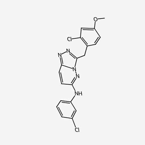 COc1ccc(Cc2nnc3ccc(Nc4cccc(Cl)c4)nn23)c(Cl)c1